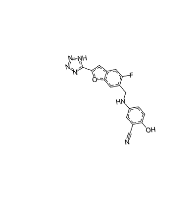 N#Cc1cc(NCc2cc3oc(-c4nnn[nH]4)cc3cc2F)ccc1O